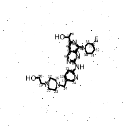 CC(O)c1cc2cnc(Nc3ccc(CN4CCN(CCO)CC4)cn3)nc2c(N2CCC[C@@H](F)C2)n1